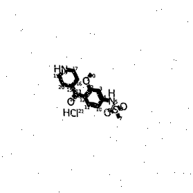 COc1cc(NS(C)(=O)=O)ccc1C(=O)C1CCNCC1.Cl